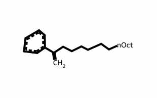 C=C(CCCCCCCCCCCCCC)c1ccccc1